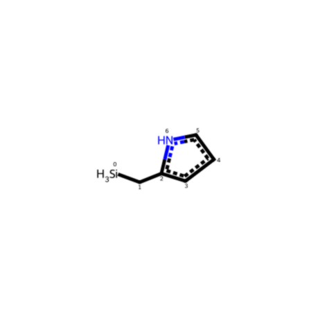 [SiH3]Cc1ccc[nH]1